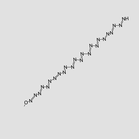 CON=NN=NN=NN=NN=NN=NN=NN=NN=NN=NN=NN=N